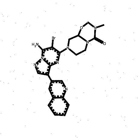 CN1COC2CN(c3nc4c(-c5cnc6ccccc6c5)cnn4c(N)c3Br)CCN2C1=O